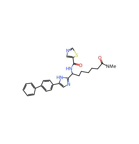 CNC(=O)CCCCCC(NC(=O)c1cncs1)c1ncc(-c2ccc(-c3ccccc3)cc2)[nH]1